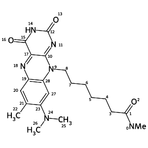 CNC(=O)CCCCCCn1c2nc(=O)[nH]c(=O)c-2nc2cc(C)c(N(C)C)cc21